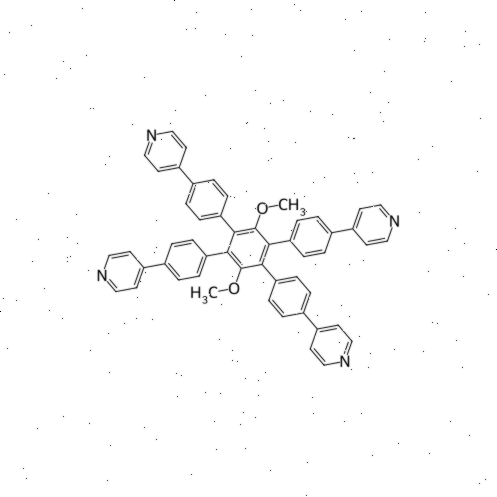 COc1c(-c2ccc(-c3ccncc3)cc2)c(-c2ccc(-c3ccncc3)cc2)c(OC)c(-c2ccc(-c3ccncc3)cc2)c1-c1ccc(-c2ccncc2)cc1